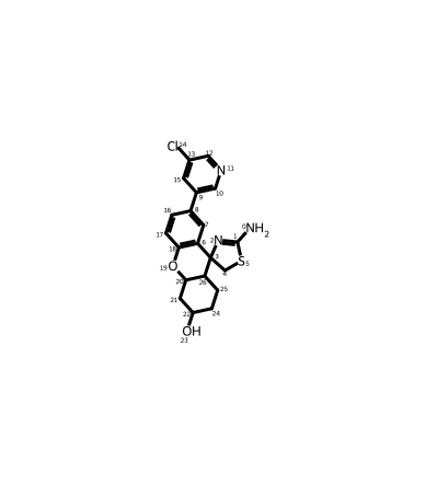 NC1=NC2(CS1)c1cc(-c3cncc(Cl)c3)ccc1OC1CC(O)CCC12